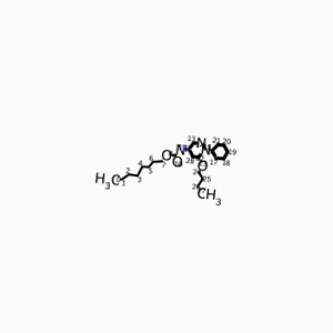 CCCCCCCCOC(=O)/N=c1/cnn(-c2ccccc2)c(OCCCC)c1